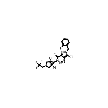 O=c1c2nn(Cc3ccccc3F)c(Cl)c2nnn1C1[C@H]2CN(CC(F)(F)F)C[C@@H]12